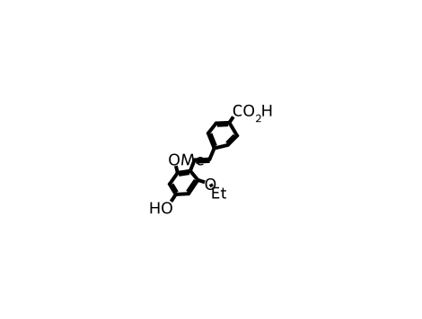 CCOc1cc(O)cc(OC)c1/C=C/c1ccc(C(=O)O)cc1